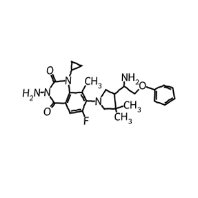 Cc1c(N2CC(C(N)COc3ccccc3)C(C)(C)C2)c(F)cc2c(=O)n(N)c(=O)n(C3CC3)c12